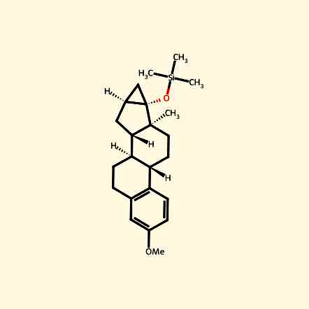 COc1ccc2c(c1)CC[C@@H]1[C@@H]2CC[C@@]2(C)[C@H]1C[C@H]1C[C@]12O[Si](C)(C)C